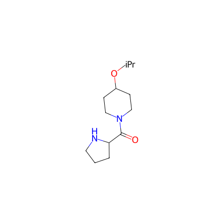 CC(C)OC1CCN(C(=O)C2CCCN2)CC1